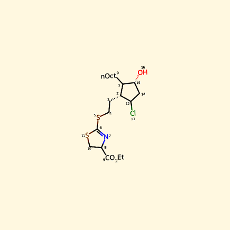 CCCCCCCCC1[C@@H](CCSC2=NC(C(=O)OCC)CS2)C(Cl)C[C@H]1O